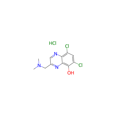 CN(C)Cc1cnc2c(Cl)cc(Cl)c(O)c2n1.Cl